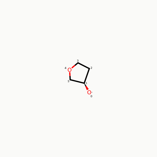 [O][C@@H]1CCOC1